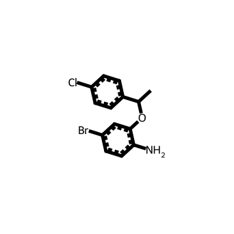 CC(Oc1cc(Br)ccc1N)c1ccc(Cl)cc1